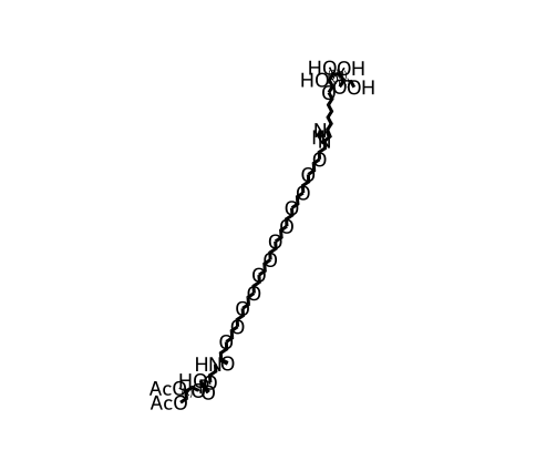 CC(=O)OC[C@H](COP(=O)(O)OCCNC(=O)CCOCCOCCOCCOCCOCCOCCOCCOCCOCCOCCOCCOCCn1cc(CCCCCOC2O[C@H](CO)[C@H](O)[C@H](O)[C@H]2O)nn1)OC(C)=O